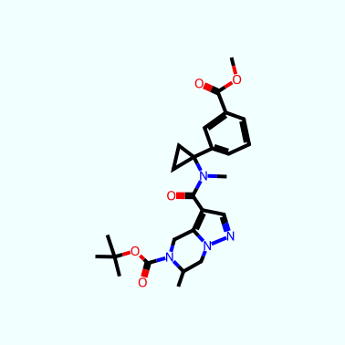 COC(=O)c1cccc(C2(N(C)C(=O)c3cnn4c3CN(C(=O)OC(C)(C)C)C(C)C4)CC2)c1